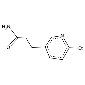 CCc1ccc(CCC(N)=O)cn1